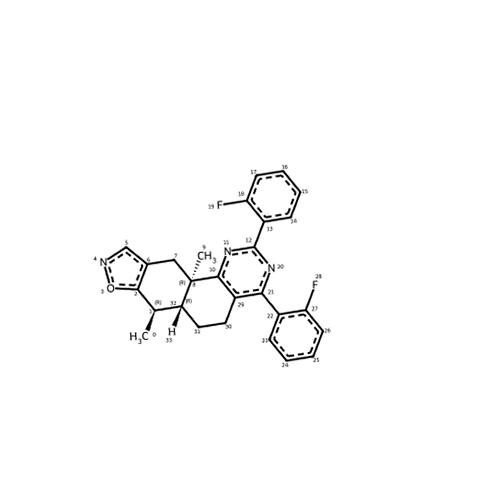 C[C@H]1c2oncc2C[C@@]2(C)c3nc(-c4ccccc4F)nc(-c4ccccc4F)c3CC[C@H]12